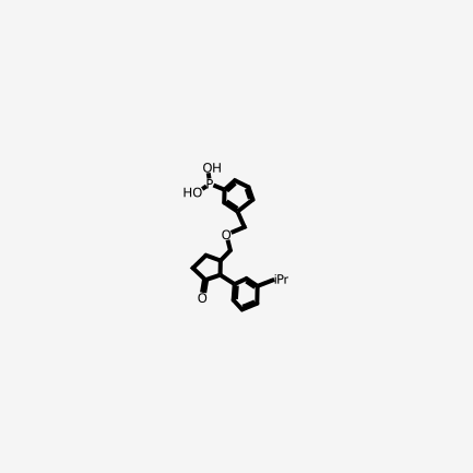 CC(C)c1cccc(C2C(=O)CCC2COCc2cccc(P(O)O)c2)c1